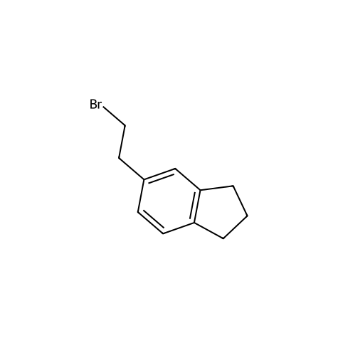 BrCCc1ccc2c(c1)CCC2